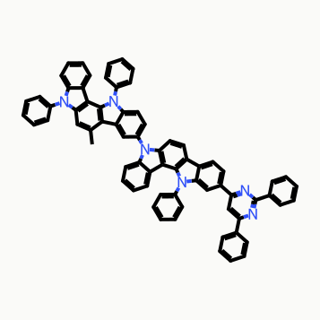 Cc1cc2c(c3ccccc3n2-c2ccccc2)c2c1c1cc(-n3c4ccccc4c4c3ccc3c5ccc(-c6cc(-c7ccccc7)nc(-c7ccccc7)n6)cc5n(-c5ccccc5)c34)ccc1n2-c1ccccc1